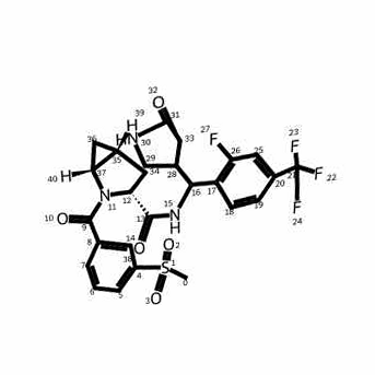 CS(=O)(=O)c1cccc(C(=O)N2[C@@H](C(=O)NC(c3ccc(C(F)(F)F)cc3F)C3CNC(=O)C3)C[C@H]3C[C@H]32)c1